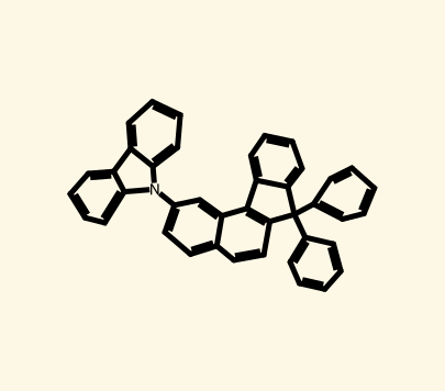 c1ccc(C2(c3ccccc3)c3ccccc3-c3c2ccc2ccc(-n4c5ccccc5c5ccccc54)cc32)cc1